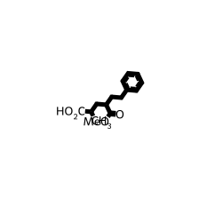 COC(=O)C(CCc1ccccc1)CC(C)C(=O)O